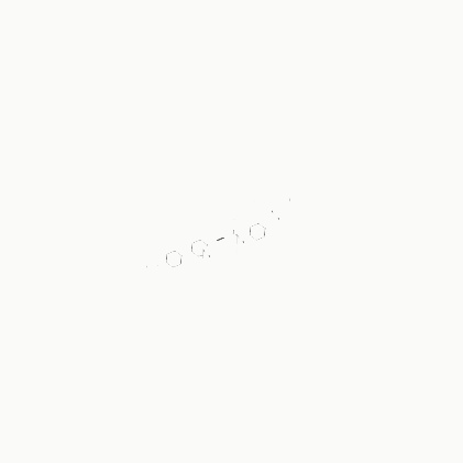 CC1CC(C)CN(Cc2ccc(NC(=O)C#Cc3ccc(-c4ccc(Cl)cc4)cn3)cc2)C1